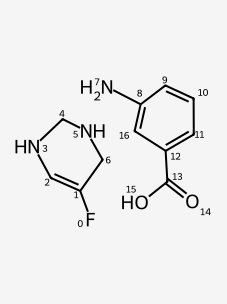 FC1=CNCNC1.Nc1cccc(C(=O)O)c1